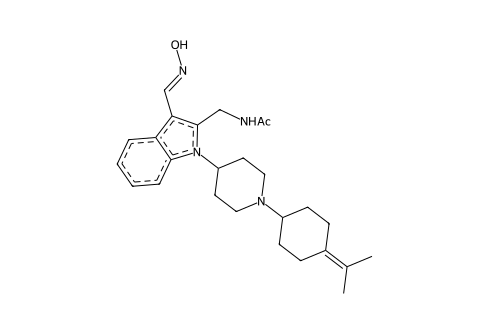 CC(=O)NCc1c(C=NO)c2ccccc2n1C1CCN(C2CCC(=C(C)C)CC2)CC1